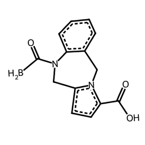 BC(=O)N1Cc2ccc(C(=O)O)n2Cc2ccccc21